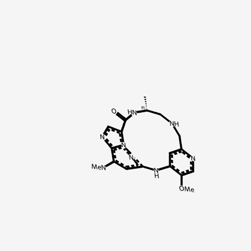 CNc1cc2nn3c(cnc13)C(=O)N[C@H](C)CNCc1cc(c(OC)cn1)N2